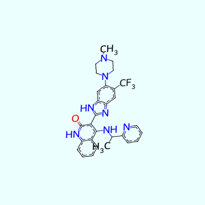 CC(Nc1c(-c2nc3cc(C(F)(F)F)c(N4CCN(C)CC4)cc3[nH]2)c(=O)[nH]c2ccccc12)c1ccccn1